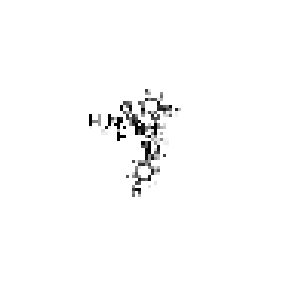 NNC(=O)N(N)c1cccc(Br)c1COc1ccn(-c2ccc(F)cc2)n1